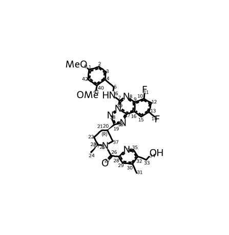 COc1ccc(CNc2nc3c(F)cc(F)cc3c3nc([C@@H]4CC[C@H](C)N(C(=O)c5cc(C)c(CO)cn5)C4)nn23)c(OC)c1